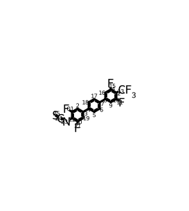 Fc1cc(-c2ccc(-c3cc(F)c(C(F)(F)F)c(F)c3)cc2)cc(F)c1N=C=S